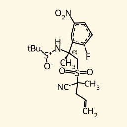 C=CCC(C)(C#N)S(=O)(=O)C[C@](C)(N[S+]([O-])C(C)(C)C)c1cc([N+](=O)[O-])ccc1F